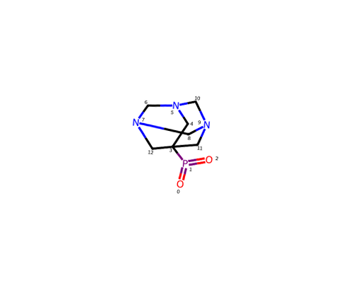 O=P(=O)C12CN3CN(CN(C3)C1)C2